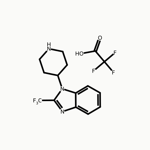 FC(F)(F)c1nc2ccccc2n1C1CCNCC1.O=C(O)C(F)(F)F